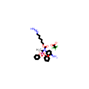 CC(N(C(=O)OCCCCCCN=[N+]=N)c1ccc(N)cc1)P(=O)(Oc1ccccc1)Oc1ccccc1.O=C([O-])C(F)(F)F